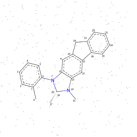 Cc1ccccc1N1c2cc3c(cc2N(C)[C@@H]1C)-c1ccccc1C3